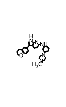 CN1CCN(c2cccc(Nc3ccc4c(-c5ccc6c(c5)CCCO6)c[nH]c4n3)c2)CC1